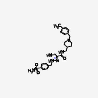 Cc1ccc(CN2CCC(CNC(=O)/C(C=N)=N/NCc3ccc(S(N)(=O)=O)cc3)CC2)cc1